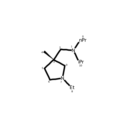 CCCN(C[C@@]1(C)CCN(CC)C1)C(C)C